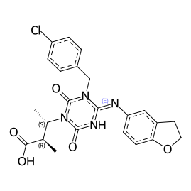 C[C@@H](C(=O)O)[C@H](C)n1c(=O)[nH]/c(=N\c2ccc3c(c2)CCO3)n(Cc2ccc(Cl)cc2)c1=O